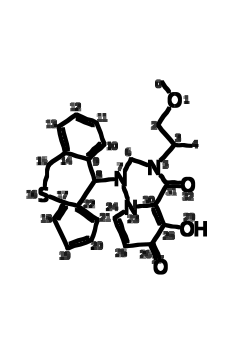 COCC(C)N1CN(C2c3ccccc3CSc3ccccc32)n2ccc(=O)c(O)c2C1=O